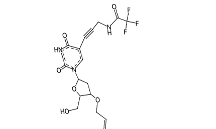 C=CCOC1CC(n2cc(C#CCNC(=O)C(F)(F)F)c(=O)[nH]c2=O)OC1CO